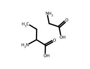 CCC(N)C(=O)O.NCC(=O)O